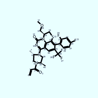 C=CC(=O)N1C[C@H](C)N(c2nc(=O)n3c4c(c(-c5ccc(F)cc5F)c(C(F)(F)F)cc24)SC[C@@H]3COC)C[C@H]1C